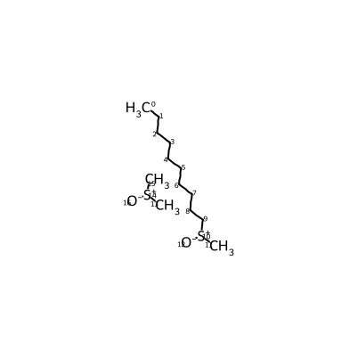 CCCCCCCCCC[S+](C)[O-].C[S+](C)[O-]